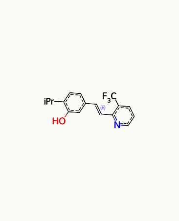 CC(C)c1ccc(/C=C/c2ncccc2C(F)(F)F)cc1O